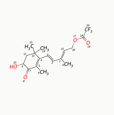 CC(C=CC1=C(C)C(=O)C(O)CC1(C)C)=CCOC(=O)C(F)(F)F